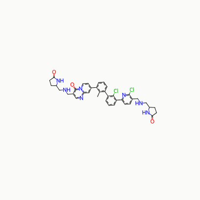 Cc1c(-c2ccn3c(=O)c(CNCC4CCC(=O)N4)cnc3c2)cccc1-c1cccc(-c2ccc(CNCC3CCC(=O)N3)c(Cl)n2)c1Cl